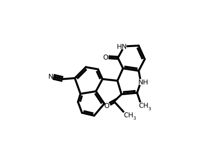 CC(=O)C1=C(C)Nc2cc[nH]c(=O)c2C1c1ccc(C#N)c2ccccc12